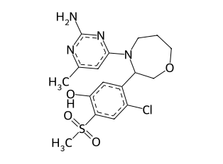 Cc1cc(N2CCCOCC2c2cc(O)c(S(C)(=O)=O)cc2Cl)nc(N)n1